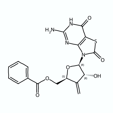 C=C1[C@@H](O)[C@H](n2c(=O)sc3c(=O)[nH]c(N)nc32)O[C@@H]1COC(=O)c1ccccc1